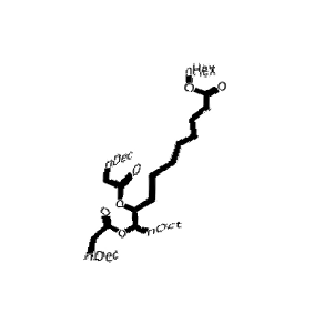 CCCCCCCCCCCC(=O)OC(CCCCCCCC)C(CCCCCCCC(=O)OCCCCCC)OC(=O)CCCCCCCCCCC